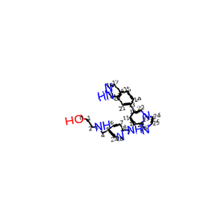 OCCNCc1ccc(Nc2cc(-c3ccc4cn[nH]c4c3)cn3ccnc23)nc1